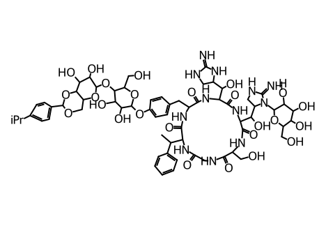 CC(C)c1ccc(C2OCC3OC(OC4C(CO)OC(Oc5ccc(CC6NC(=O)C(C(C)c7ccccc7)NC(=O)CNC(=O)C(CO)NC(=O)C(C(O)C7CNC(=N)N7C7OC(CO)C(O)C(O)C7O)NC(=O)C(C(O)C7CNC(=N)N7)NC6=O)cc5)C(O)C4O)C(O)C(O)C3O2)cc1